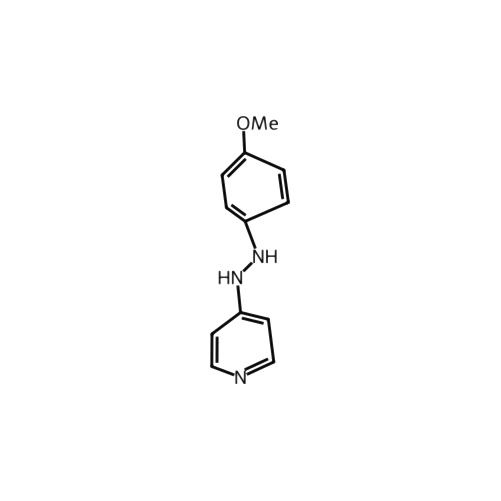 COc1ccc(NNc2ccncc2)cc1